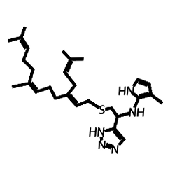 CC(C)=CCCC(C)=CCCC(=CCSCC(Nc1[nH]ccc1C)c1cnn[nH]1)CC=C(C)C